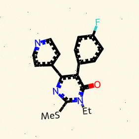 CCn1c(SC)nc(-c2ccncc2)c(-c2ccc(F)cc2)c1=O